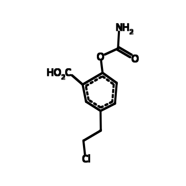 NC(=O)Oc1ccc(CCCl)cc1C(=O)O